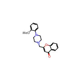 COc1ccccc1N1CCN(Cc2cc(=O)c3ccccc3o2)CC1